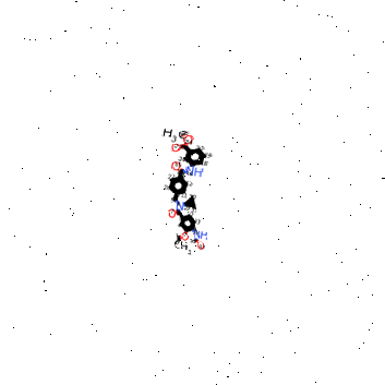 CCOc1cc(C(=O)N(Cc2ccc(C(=O)Nc3cccc(C(=O)OC)c3)cc2)C2CC2)ccc1NC=O